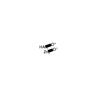 [O]=[AlH].[O]=[Zn]